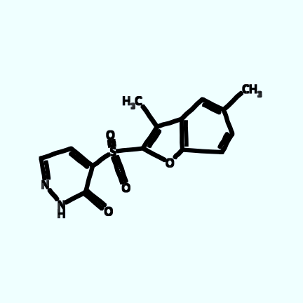 Cc1ccc2oc(S(=O)(=O)c3ccn[nH]c3=O)c(C)c2c1